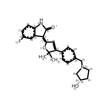 CC1(C)O/C(=C2/C(=O)Nc3ccc(F)cc32)C=C1c1ccc(CN2CC[C@H](O)C2)cc1